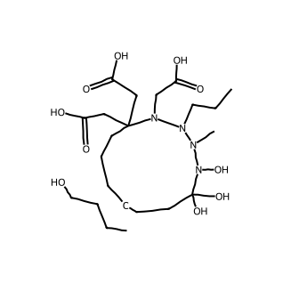 CCCCO.CCCN1N(C)N(O)C(O)(O)CCCCCCC(CC(=O)O)(CC(=O)O)N1CC(=O)O